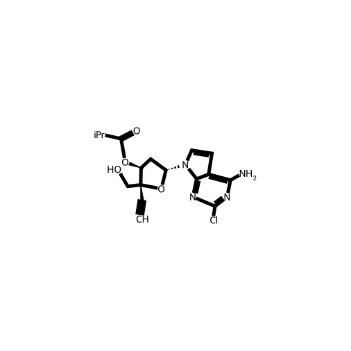 C#C[C@]1(CO)O[C@@H](n2ccc3c(N)nc(Cl)nc32)C[C@@H]1OC(=O)C(C)C